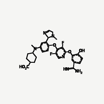 CN1CC=NC1c1cc(N(C)C2CCC(C(=O)O)CC2)ccc1Oc1c(F)cnc(Oc2cc(C(=N)N)ccc2O)c1F